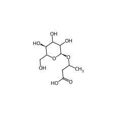 CC(CC(=O)O)O[C@H]1OC(CO)[C@@H](O)C(O)C1O